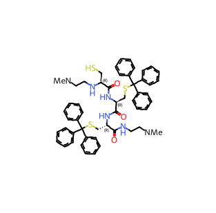 CNCCNC(=O)[C@H](CSC(c1ccccc1)(c1ccccc1)c1ccccc1)NC(=O)[C@H](CSC(c1ccccc1)(c1ccccc1)c1ccccc1)NC(=O)[C@H](CS)NCCNC